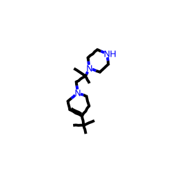 CC(C)(C)C1=CCN(CC(C)(C)N2CCNCC2)CC1